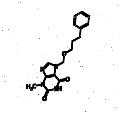 Cn1c(=O)[nH]c(=O)c2c1ncn2COCCCc1ccccc1